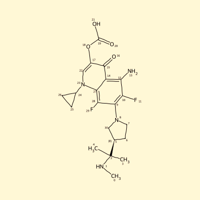 CNC(C)(C)[C@@H]1CCN(c2c(F)c(N)c3c(=O)c(OC(=O)O)cn(C4CC4)c3c2F)C1